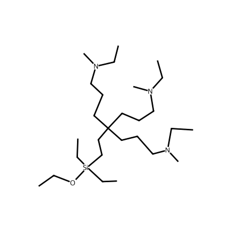 CCO[Si](CC)(CC)CCC(CCCN(C)CC)(CCCN(C)CC)CCCN(C)CC